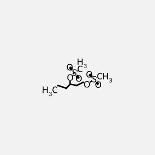 CCCC(CCOS(C)(=O)=O)OS(C)(=O)=O